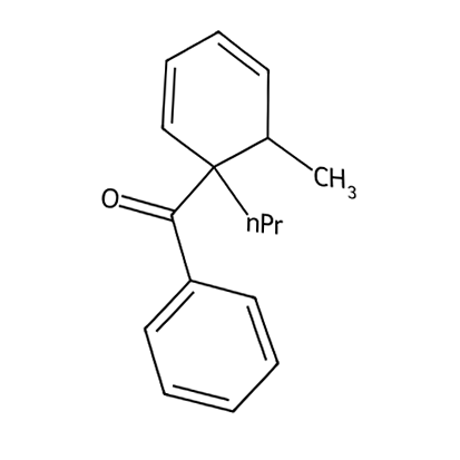 CCCC1(C(=O)c2ccccc2)C=CC=CC1C